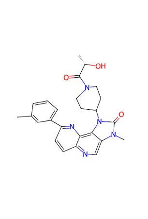 Cc1cccc(-c2ccc3ncc4c(c3n2)n(C2CCN(C(=O)[C@H](C)O)CC2)c(=O)n4C)c1